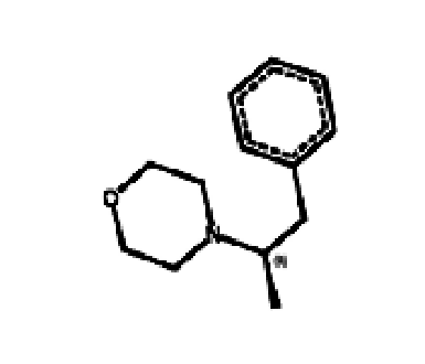 C[C@H](Cc1ccccc1)N1CCOCC1